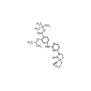 CC[C@]1(C#N)CCN(c2ccnc(Nc3ccc(C(=O)OC(C)(C)C)c(OC(C)C)c3)n2)C1=O